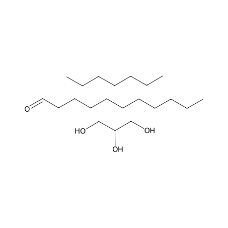 CCCCCCC.CCCCCCCCCCC=O.OCC(O)CO